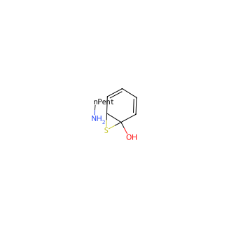 CCCCCN.OC12C=CC=CC1S2